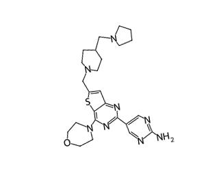 Nc1ncc(-c2nc(N3CCOCC3)c3sc(CN4CCC(CN5CCCC5)CC4)cc3n2)cn1